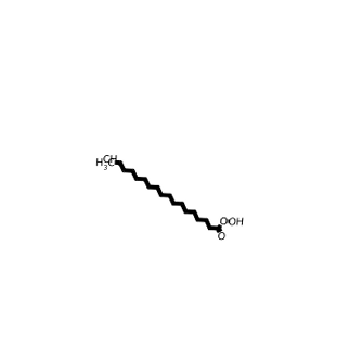 C.CCCCCCCCCCCCCCCCCC(=O)OO